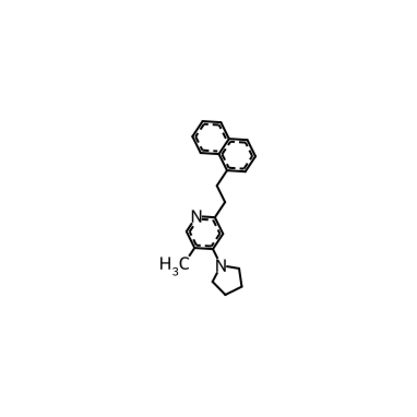 Cc1cnc(CCc2cccc3ccccc23)cc1N1CCCC1